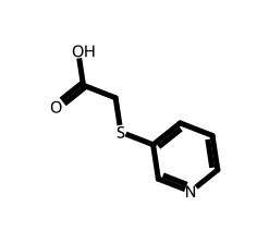 O=C(O)CSc1cccnc1